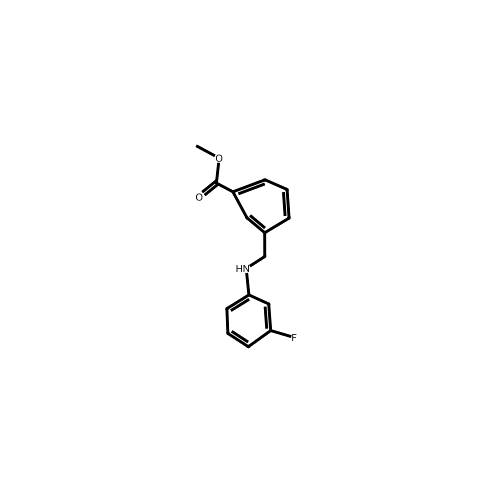 COC(=O)c1cccc(CNc2cccc(F)c2)c1